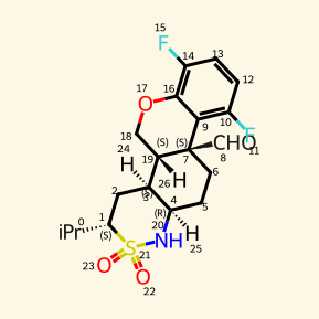 CC(C)[C@@H]1C[C@@H]2[C@@H](CC[C@@]3(C=O)c4c(F)ccc(F)c4OC[C@@H]23)NS1(=O)=O